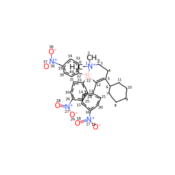 C[N+]1(C)CCC(C2CCCCC2)=C(c2ccc([N+](=O)[O-])cc2)[B-]1(c1ccc([N+](=O)[O-])cc1)c1ccc([N+](=O)[O-])cc1